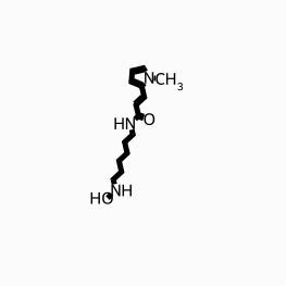 Cn1cccc1/C=C/C(=O)NCCCCCCNO